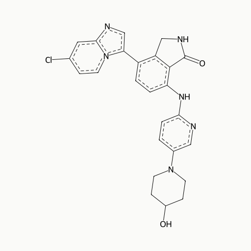 O=C1NCc2c(-c3cnc4cc(Cl)ccn34)ccc(Nc3ccc(N4CCC(O)CC4)cn3)c21